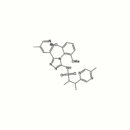 COc1cccc(OC)c1-n1c(NS(=O)(=O)C(C)C(C)c2cnc(C)cn2)nnc1-c1cncc(C)c1